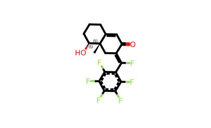 C[C@]12CC(=C(F)c3c(F)c(F)c(F)c(F)c3F)C(=O)C=C1CCC[C@@H]2O